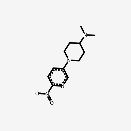 CN(C)C1CCN(c2ccc([N+](=O)[O-])nc2)CC1